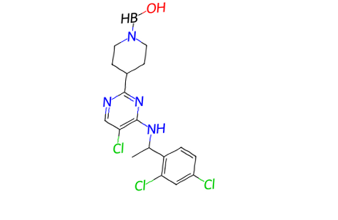 CC(Nc1nc(C2CCN(BO)CC2)ncc1Cl)c1ccc(Cl)cc1Cl